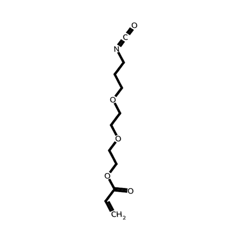 C=CC(=O)OCCOCCOCCCN=C=O